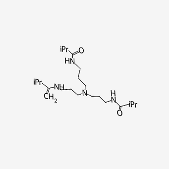 C=C(NCCCN(CCCNC(=O)C(C)C)CCCNC(=O)C(C)C)C(C)C